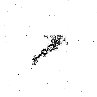 COC(=O)[C@H](NS(=O)(=O)N1CCN(c2ccc(C#Cc3nc(Br)cs3)cc2)CC1)C(C)C